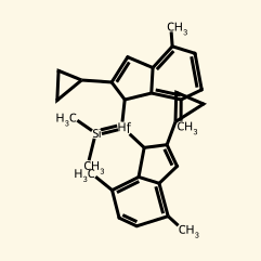 Cc1ccc(C)c2c1C=C(C1CC1)[CH]2[Hf]([CH]1C(C2CC2)=Cc2c(C)ccc(C)c21)=[Si](C)C